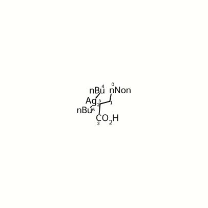 CCCCCCCCCCCC(=O)O.CCC[CH2][Ag][CH2]CCC